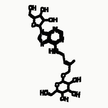 C/C(=C\CNc1ncnc2c1ncn2C1OC(CO)C(O)C1O)COC1OC(CO)C(O)C(O)C1O